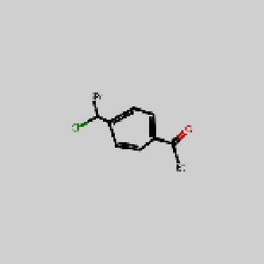 CCC(=O)c1ccc(C(Cl)C(C)C)cc1